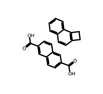 O=C(O)c1ccc2cc(C(=O)O)ccc2c1.c1ccc2c3c(ccc2c1)CC3